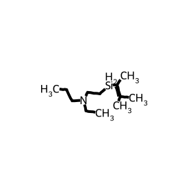 CCCN(CC)CC[SiH2]C(C)=C(C)C